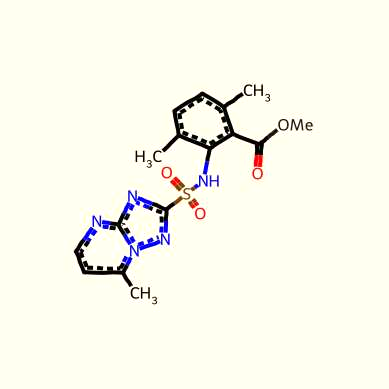 COC(=O)c1c(C)ccc(C)c1NS(=O)(=O)c1nc2nccc(C)n2n1